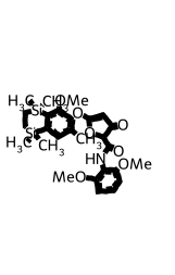 COc1cccc(OC)c1NC(=O)C1OC(Oc2c(C)cc3c(c2OC)[Si](C)(C)CC[Si]3(C)C)=CC1=O